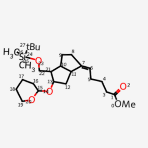 COC(=O)CCCC=C1CCC2C1CC(OC1CCCCO1)C2CO[Si](C)(C)C(C)(C)C